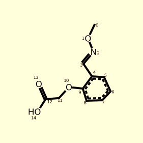 CON=Cc1ccccc1OCC(=O)O